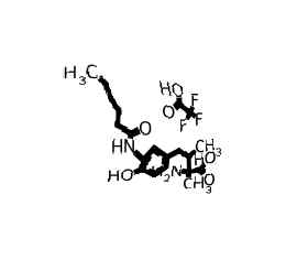 CCCCCC(=O)Nc1cc(CC(C)C(C)(N)C(=O)O)ccc1O.O=C(O)C(F)(F)F